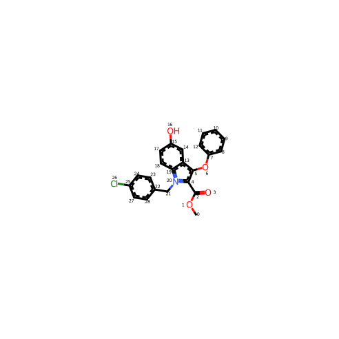 COC(=O)c1c(Oc2ccccc2)c2cc(O)ccc2n1Cc1ccc(Cl)cc1